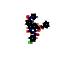 O=C(OCc1ccccc1)c1cccc2c1CN(C(=O)c1ccc(Cl)cc1)CC(=O)N2Cc1ccc(C(=O)N2CC=CC2)cc1